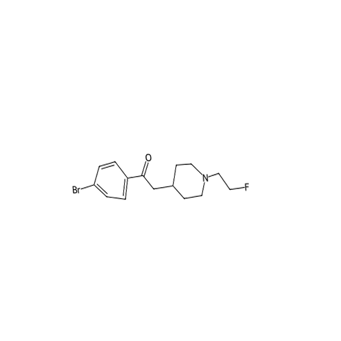 O=C(CC1CCN(CCF)CC1)c1ccc(Br)cc1